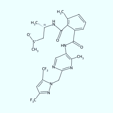 Cc1cccc(C(=O)Nc2cnc(Cn3nc(C(F)(F)F)cc3C(F)(F)F)nc2C)c1C(=O)N[C@@H](C)C[S+](C)[O-]